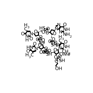 C=C1NC(=O)C(C)=CN1[C@@H]1O[C@H](COP(=O)(S)OC2[C@@H](COP(=O)(S)OC3C[C@H](n4cc(C)c(=O)[nH]c4=O)O[C@@H]3COP(=O)(S)OC3C[C@H](n4cnc5c(=O)[nH]c(N)nc54)O[C@@H]3COP(=O)(S)OC(C)C)O[C@@H](n3cc(C)c(=O)[nH]c3=O)[C@H]2OC)C(OP(=O)(S)OCCO)[C@@H]1OC